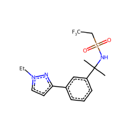 CCn1ccc(-c2cccc(C(C)(C)NS(=O)(=O)CC(F)(F)F)c2)n1